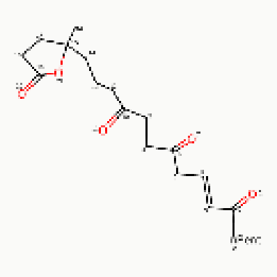 CCCCCC(=O)/C=C/CC(=O)CCC(=O)CCCC1(C)CCC(=O)O1